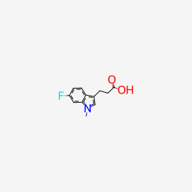 Cn1cc(CCC(=O)O)c2ccc(F)cc21